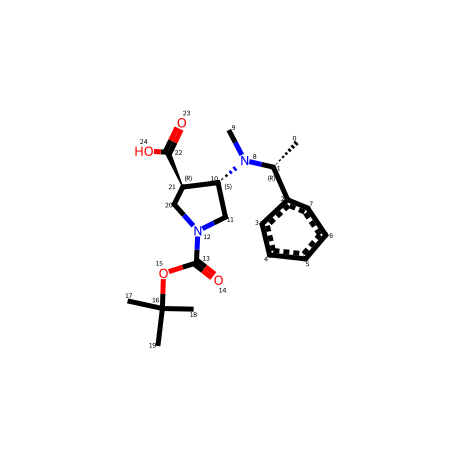 C[C@H](c1ccccc1)N(C)[C@@H]1CN(C(=O)OC(C)(C)C)C[C@H]1C(=O)O